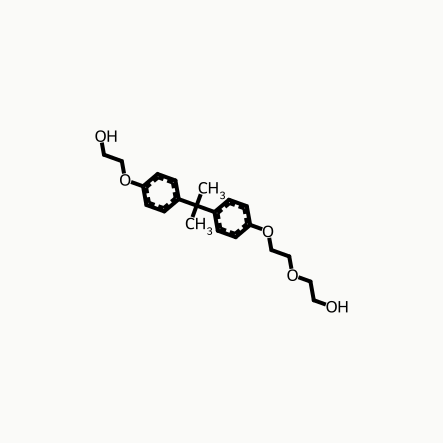 CC(C)(c1ccc(OCCO)cc1)c1ccc(OCCOCCO)cc1